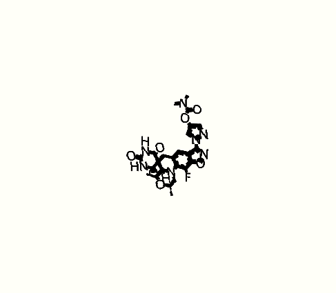 C[C@@H]1CN2c3c(cc4c(-n5cc(OC(=O)N(C)C)cn5)noc4c3F)CC3(C(=O)NC(=O)NC3=O)[C@H]2[C@H](C)O1